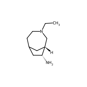 CCN1CCC2C[C@H](C1)[C@H](N)C2